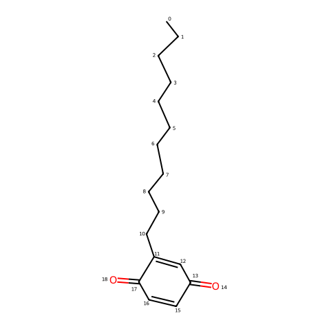 CCCCCCCCCCCC1=CC(=O)C=CC1=O